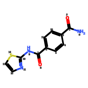 NC(=O)c1ccc(C(=O)Nc2nccs2)cc1